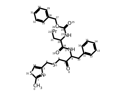 Cc1nc(CSCC(=O)C(Cc2ccccc2)NC(=O)C(CC(C)C)NC(=O)OCc2ccccc2)cs1